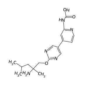 CC(C)CC(C)(N)COc1ncc(-c2ccnc(NC(=O)O)c2)cn1